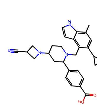 Cc1cc(C2CC2)c(CN2CCC(N3CC(C#N)C3)CC2c2ccc(C(=O)O)cc2)c2cc[nH]c12